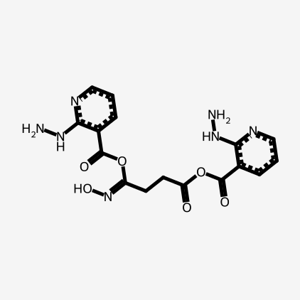 NNc1ncccc1C(=O)OC(=O)CC/C(=N/O)OC(=O)c1cccnc1NN